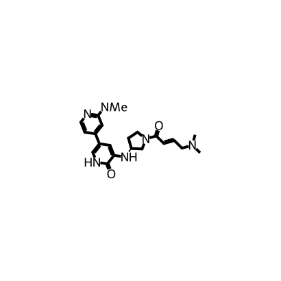 CNc1cc(-c2c[nH]c(=O)c(N[C@@H]3CCN(C(=O)/C=C/CN(C)C)C3)c2)ccn1